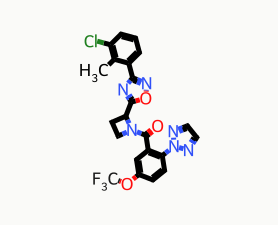 Cc1c(Cl)cccc1-c1noc(C2CCN2C(=O)c2cc(OC(F)(F)F)ccc2-n2nccn2)n1